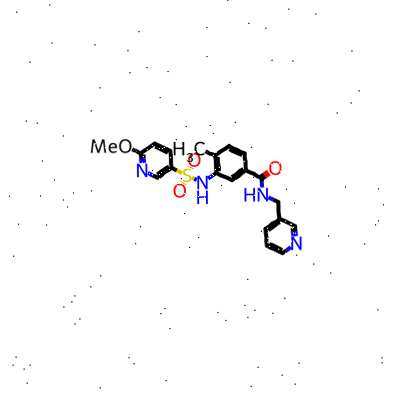 COc1ccc(S(=O)(=O)Nc2cc(C(=O)NCc3cccnc3)ccc2C)cn1